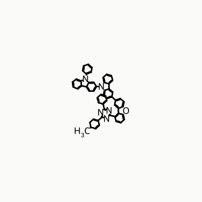 CC1C=CC(c2nc(-c3ccccc3)nc(-c3cccc4oc5ccc(-c6ccc7c(c6)c6ccccc6n7-c6ccc7c8ccccc8n(-c8ccccc8)c7c6)cc5c34)n2)=CC1